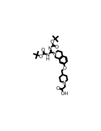 CC(C)(C)OC(=O)/N=C(/NC(=O)OC(C)(C)C)N1CCc2ccc(OCC3CCN(CC(=O)O)CC3)cc2C1